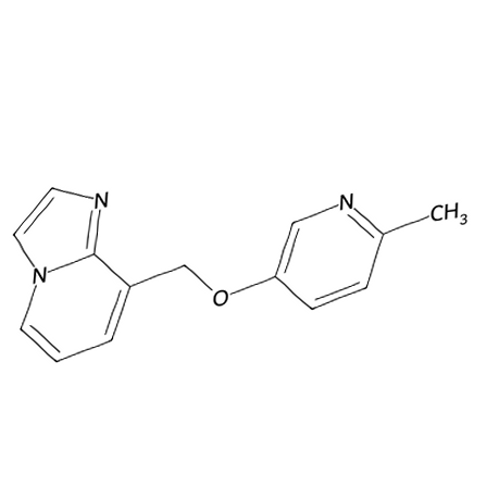 Cc1ccc(OCc2cccn3ccnc23)cn1